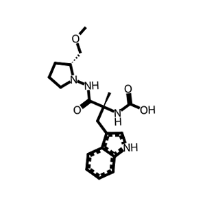 COC[C@H]1CCCN1NC(=O)[C@@](C)(Cc1c[nH]c2ccccc12)NC(=O)O